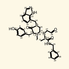 CN1[C@@H](Cc2ccc(O)cc2)C(=O)N(Cc2cccc3cn[nH]c23)C[C@@H]1N(CC=O)N(C)C(=O)NCc1ccccc1